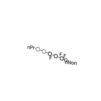 CCCCCCCCCOc1ccc(-c2ccc(-c3ccc(C4CCC(C5CCC(CCC)CC5)CC4)cc3F)cc2)c(F)c1F